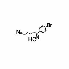 N#CCCCCC(=NO)c1ccc(Br)cc1